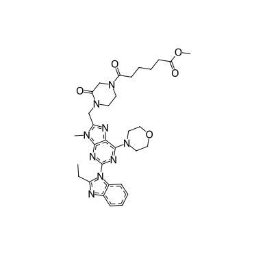 CCc1nc2ccccc2n1-c1nc(N2CCOCC2)c2nc(CN3CCN(C(=O)CCCCC(=O)OC)CC3=O)n(C)c2n1